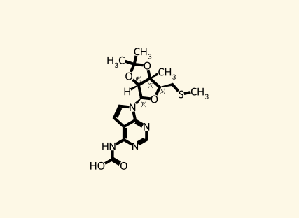 CSC[C@H]1O[C@@H](n2ccc3c(NC(=O)O)ncnc32)[C@@H]2OC(C)(C)O[C@]12C